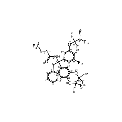 O=C(NCC(F)(F)F)NC(Cc1ccccc1)(c1cc(F)cc(OC(F)(F)C(F)F)c1)c1ccc2c(c1)OC(F)(F)C(F)(F)O2